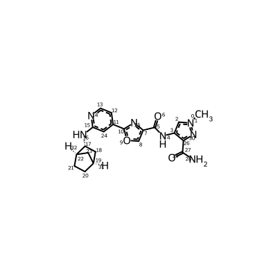 Cn1cc(NC(=O)c2coc(-c3ccnc(N[C@@H]4C[C@H]5CC[C@@H]4C5)c3)n2)c(C(N)=O)n1